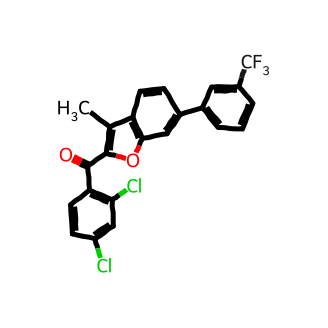 Cc1c(C(=O)c2ccc(Cl)cc2Cl)oc2cc(-c3cccc(C(F)(F)F)c3)ccc12